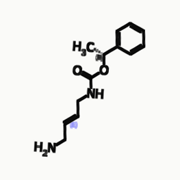 C[C@@H](OC(=O)NC/C=C/CN)c1ccccc1